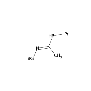 CCC(C)/N=C(\C)BC(C)C